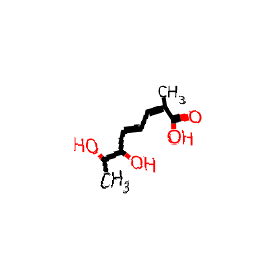 CC(=CC=CC(O)C(C)O)C(=O)O